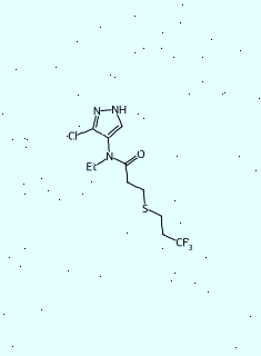 CCN(C(=O)CCSCCC(F)(F)F)c1c[nH]nc1Cl